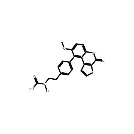 COc1ccc2[nH]c(=O)c3sccc3c2c1-c1ccc(CCN(Cl)C(=O)O)cc1